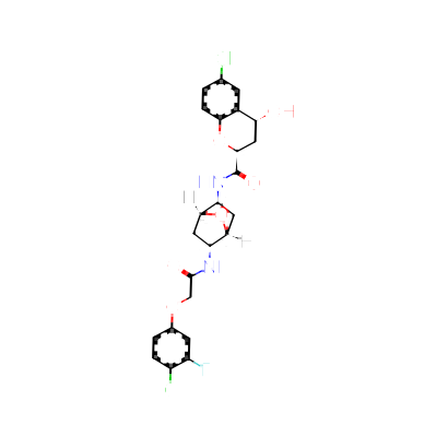 O=C(COc1ccc(Cl)c(F)c1)N[C@H]1C[C@H]2O[C@@H]1C[C@@H]2NC(=O)[C@@H]1C[C@H](O)c2cc(Cl)ccc2O1